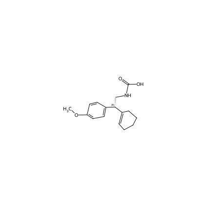 COc1ccc([C@H](CNC(=O)O)C2=CCCCC2)cc1